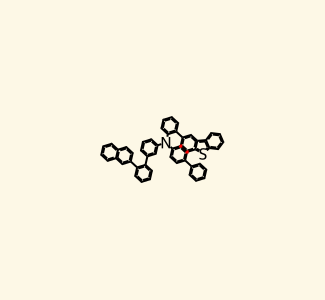 c1ccc(-c2ccc(N(c3cccc(-c4ccccc4-c4ccc5ccccc5c4)c3)c3ccccc3-c3ccc4sc5ccccc5c4c3)cc2)cc1